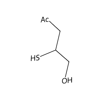 CC(=O)CC(S)CO